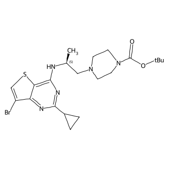 C[C@@H](CN1CCN(C(=O)OC(C)(C)C)CC1)Nc1nc(C2CC2)nc2c(Br)csc12